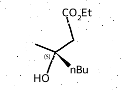 CCCC[C@](C)(O)CC(=O)OCC